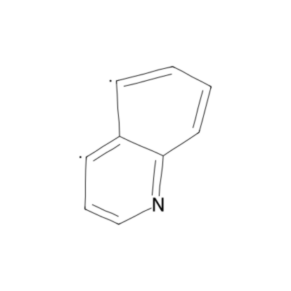 [c]1cccc2ncc[c]c12